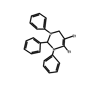 CCC1=C(CC)N(c2ccccc2)C(c2ccccc2)N(c2ccccc2)C1